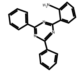 Nc1ccccc1-c1nc(-c2ccccc2)nc(-c2ccccc2)n1